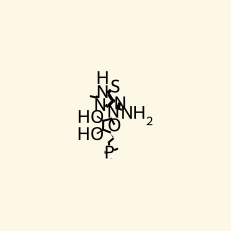 C=P(C)(C)CC[C@H]1O[C@@H](n2c(N)nc3c(=S)[nH]c(C)nc32)[C@H](O)[C@@H]1O